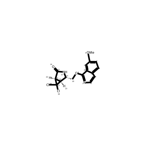 COc1ccc2ccnc(OC[C@H]3NC(=O)[C@H]4[C@@H]3C4(Cl)Cl)c2c1